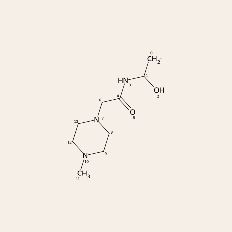 [CH2]C(O)NC(=O)CN1CCN(C)CC1